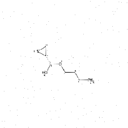 OC(OCCCP)[C@H]1CS1